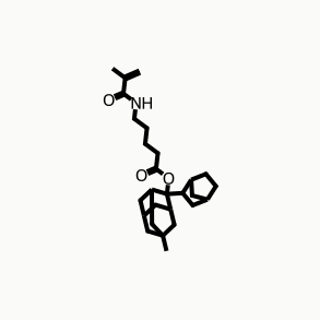 C=C(C)C(=O)NCCCCC(=O)OC1(C2CC3CCC2C3)C2CC3CC1CC(C)(C3)C2